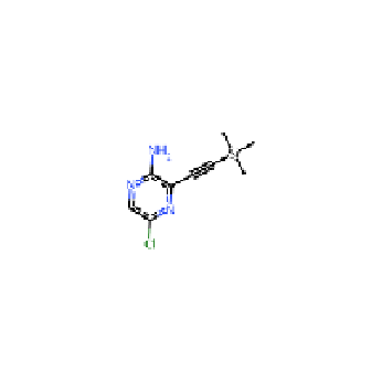 C[Si](C)(C)C#Cc1nc(Cl)cnc1N